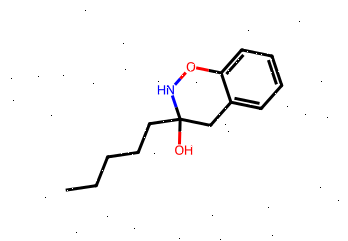 CCCCCC1(O)Cc2ccccc2ON1